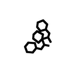 CC(CC1CCCCC1)C1(C(C)CC2CCCCC2)CCCCC1